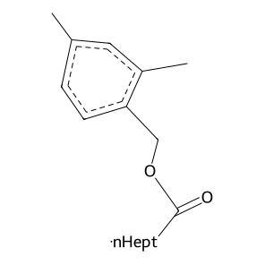 CCCCCC[CH]C(=O)OCc1ccc(C)cc1C